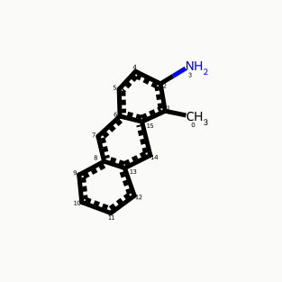 Cc1c(N)ccc2cc3ccccc3cc12